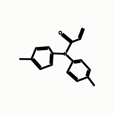 C=CC(=O)N(c1ccc(C)cc1)c1ccc(C)cc1